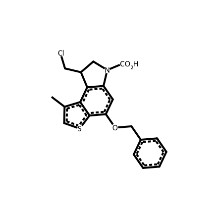 Cc1csc2c(OCc3ccccc3)cc3c(c12)C(CCl)CN3C(=O)O